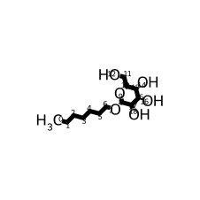 CCCCCCCO[C@H]1OC(CO)[C@@H](O)[C@H](O)C1O